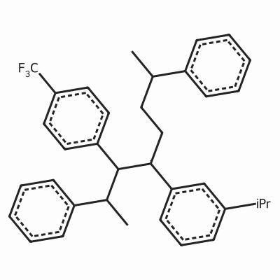 CC(C)c1cccc([C](CCC(C)c2ccccc2)C(c2ccc(C(F)(F)F)cc2)C(C)c2ccccc2)c1